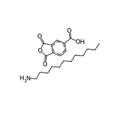 CCCCCCCCCCCCN.O=C(O)c1ccc2c(c1)C(=O)OC2=O